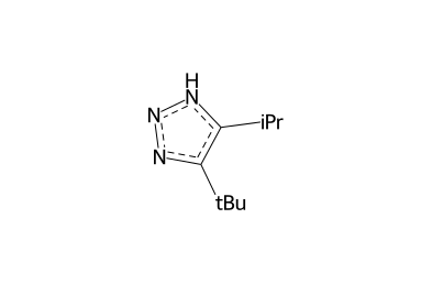 CC(C)c1[nH]nnc1C(C)(C)C